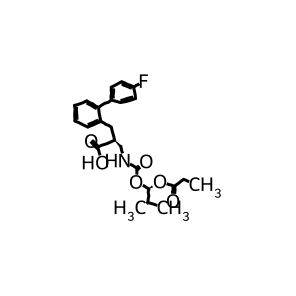 CCC(=O)O[C@@H](OC(=O)NC[C@H](Cc1ccccc1-c1ccc(F)cc1)C(=O)O)C(C)C